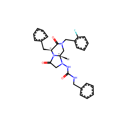 O=C(NCc1ccccc1)NN1CC(=O)N2[C@@H]1CN(Cc1ccccc1F)C(=O)[C@@H]2Cc1ccccc1